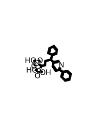 O=P(O)(O)C(CCC(c1ccccc1)c1ccc(-c2ccccc2)nc1)S(=O)(=O)O